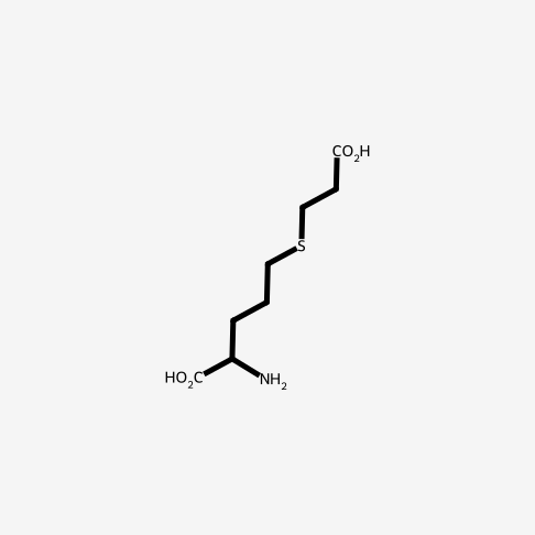 NC(CCCSCCC(=O)O)C(=O)O